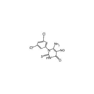 Nc1c(N=O)c(=O)[nH]c(=S)n1-c1cc(Cl)cc(Cl)c1